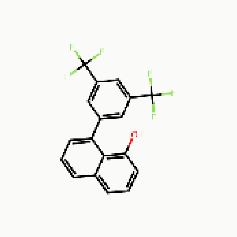 Oc1cccc2cccc(-c3cc(C(F)(F)F)cc(C(F)(F)F)c3)c12